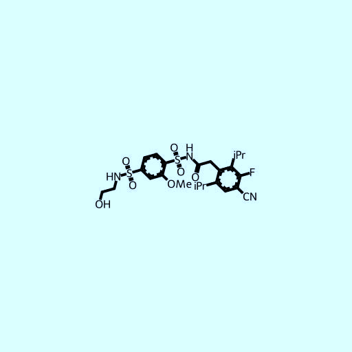 COc1cc(S(=O)(=O)NCCO)ccc1S(=O)(=O)NC(=O)Cc1c(C(C)C)cc(C#N)c(F)c1C(C)C